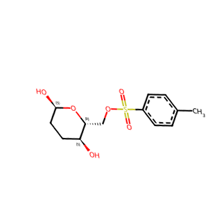 Cc1ccc(S(=O)(=O)OC[C@H]2O[C@H](O)CC[C@@H]2O)cc1